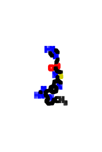 Cc1cccc(-c2[nH]cnc2-c2ccc3ncc(-c4nc(C(=O)OCCN5CCNCC5)cs4)cc3c2)n1